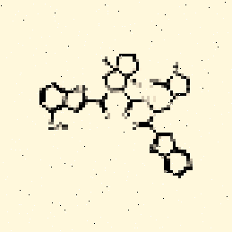 COc1cccc2[nH]c(C(=O)N3C[C@@H]4CCC[C@@H]4[C@H]3C(=O)NC(C[C@@H]3CCNC3=O)C(=O)c3nc4ccccc4s3)cc12